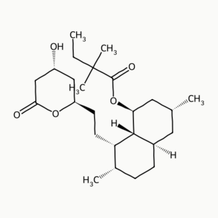 CCC(C)(C)C(=O)O[C@H]1C[C@H](C)C[C@H]2CC[C@H](C)[C@H](CC[C@@H]3C[C@@H](O)CC(=O)O3)[C@@H]21